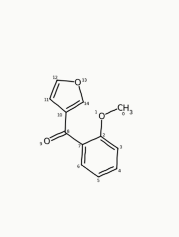 COc1ccccc1C(=O)c1ccoc1